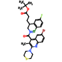 Cc1c(N2CCSCC2)nc2ccc(Br)cc2c1C(=O)NCC(CCC(=O)OC(C)(C)C)c1cc(F)ccc1Cl